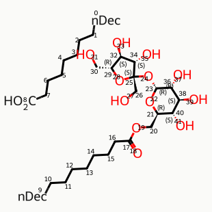 CCCCCCCCCCCCCCCCCC(=O)O.CCCCCCCCCCCCCCCCCC(=O)OC[C@H]1O[C@H](O[C@]2(CO)O[C@H](CO)[C@@H](O)[C@@H]2O)[C@H](O)[C@@H](O)[C@@H]1O